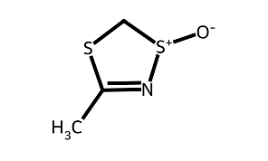 CC1=N[S+]([O-])CS1